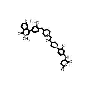 Cn1cc(-c2ccc(CC3CCN(CC(=O)C4CCN(c5ccc(NC6CCC(=O)NC6=O)cc5Cl)CC4)CC3)c(OC(F)(F)F)c2)c2cc(F)ccc2c1=O